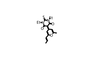 C/C=C/C1=CC(=C2C(=O)N(CC)C(=S)N(CC)C2=O)C=C(C)O1